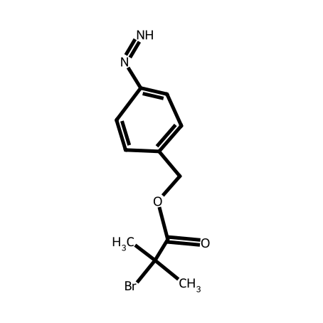 CC(C)(Br)C(=O)OCc1ccc(N=N)cc1